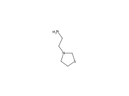 NCCN1CCSC1